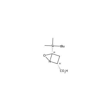 CC(C)(C)[Si](C)(C)[C@]12C[C@H](C(=O)O)N1O2